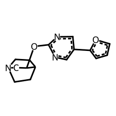 c1coc(-c2cnc(OC3CN4CCC3CC4)nc2)c1